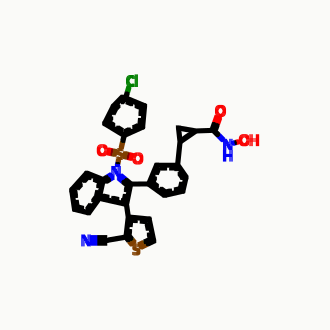 N#Cc1sccc1-c1c(-c2cccc(C3CC3C(=O)NO)c2)n(S(=O)(=O)c2ccc(Cl)cc2)c2ccccc12